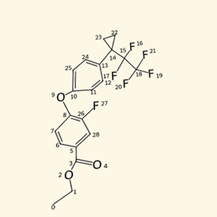 CCOC(=O)c1ccc(Oc2ccc(C3(C(F)(F)C(F)(F)F)CC3)cc2)c(F)c1